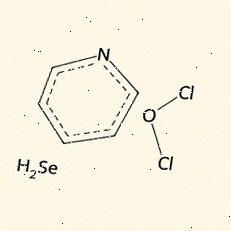 ClOCl.[SeH2].c1ccncc1